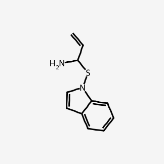 C=CC(N)Sn1ccc2ccccc21